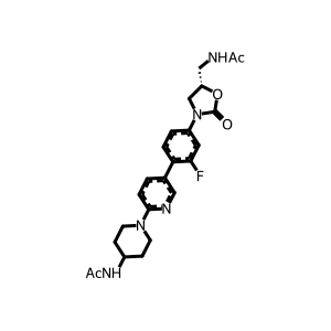 CC(=O)NC[C@H]1CN(c2ccc(-c3ccc(N4CCC(NC(C)=O)CC4)nc3)c(F)c2)C(=O)O1